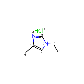 CCn1cnc(C)c1.Cl